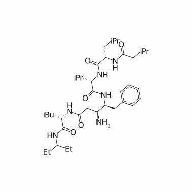 CCC(CC)NC(=O)[C@@H](NC(=O)C[C@H](N)[C@H](Cc1ccccc1)NC(=O)[C@@H](NC(=O)[C@H](CC(C)C)NC(=O)CC(C)C)C(C)C)[C@@H](C)CC